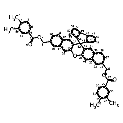 Cc1ccc(C(=O)OCc2ccc3cc4c(cc3c2)Oc2cc3cc(COC(=O)c5ccc(C)c(C)c5)ccc3cc2C42c3ccccc3-c3ccccc32)cc1C